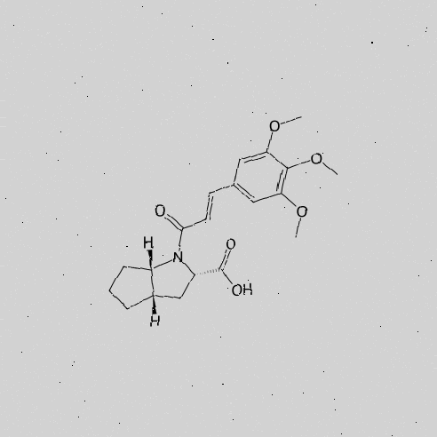 COc1cc(/C=C/C(=O)N2[C@H](C(=O)O)C[C@@H]3CCC[C@@H]32)cc(OC)c1OC